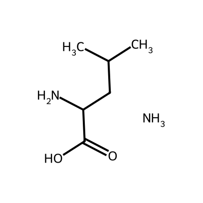 CC(C)CC(N)C(=O)O.N